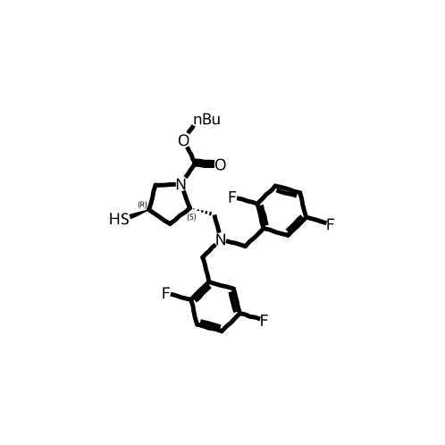 CCCCOC(=O)N1C[C@H](S)C[C@H]1CN(Cc1cc(F)ccc1F)Cc1cc(F)ccc1F